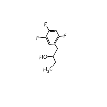 CC[C@@H](O)Cc1cc(F)c(F)cc1F